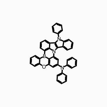 c1ccc(N(c2ccccc2)c2cc3c4c(c2)-n2c5c(cccc5c5c2c2ccccc2n5-c2ccccc2)B4c2ccccc2O3)cc1